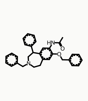 CC(=O)Nc1cc2c(cc1OCc1ccccc1)CCN(Cc1ccccc1)CC2c1ccccc1